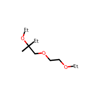 [CH2]COCCOCC(C)(C[CH2])OC[CH2]